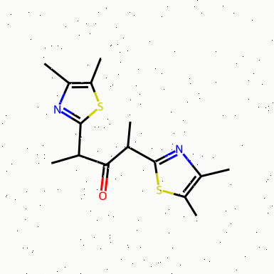 Cc1nc(C(C)C(=O)C(C)c2nc(C)c(C)s2)sc1C